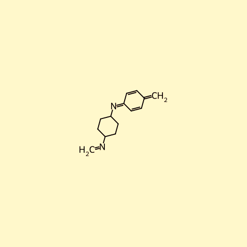 C=NC1CCC(N=C2C=CC(=C)C=C2)CC1